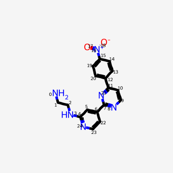 NCCNc1cc(-c2nccc(-c3ccc([N+](=O)[O-])cc3)n2)ccn1